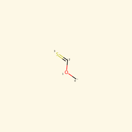 [CH2]O[C]=S